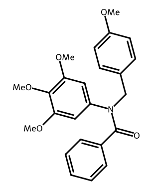 COc1ccc(CN(C(=O)c2ccccc2)c2cc(OC)c(OC)c(OC)c2)cc1